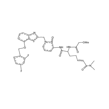 COCC(=O)NC(CC/C=C/C(=O)N(C)C)C(=O)Nc1cccn(Cc2nc3cccc(OCc4ccc(F)cc4F)c3s2)c1=O